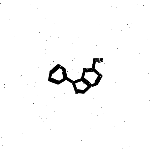 O=C(O)c1ccc2cnn(-c3ccccc3)c2n1